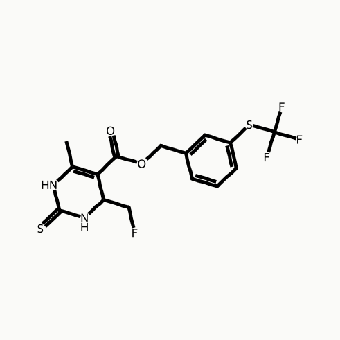 CC1=C(C(=O)OCc2cccc(SC(F)(F)F)c2)C(CF)NC(=S)N1